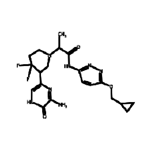 CC(C(=O)Nc1ccc(OCC2CC2)nn1)N1CCC(F)(F)C(c2c[nH]c(=O)c(N)n2)C1